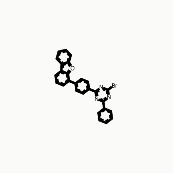 Brc1nc(-c2ccccc2)nc(-c2ccc(-c3cccc4c3oc3ccccc34)cc2)n1